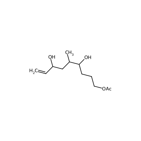 C=CC(O)CC(C)C(O)CCCOC(C)=O